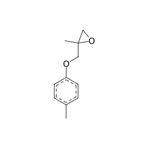 Cc1ccc(OCC2(C)CO2)cc1